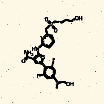 CC(CO)c1cc(F)c(-c2cc(C(N)=O)c(Nc3cccc(CS(=O)(=O)CCCCO)n3)s2)c(F)c1